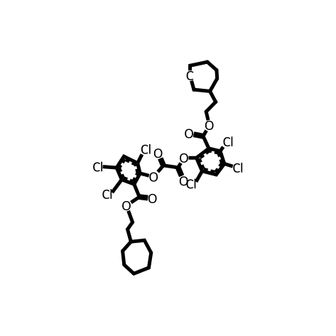 O=C(Oc1c(Cl)cc(Cl)c(Cl)c1C(=O)OCCC1CCCCCC1)C(=O)Oc1c(Cl)cc(Cl)c(Cl)c1C(=O)OCCC1CCCCCC1